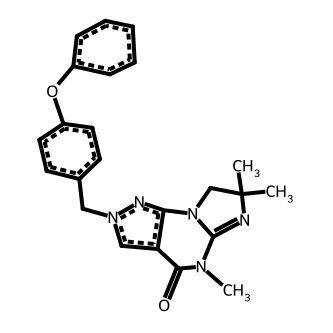 CN1C(=O)c2cn(Cc3ccc(Oc4ccccc4)cc3)nc2N2CC(C)(C)N=C12